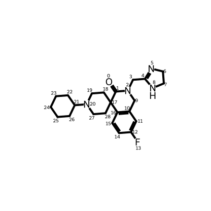 O=C1N(CC2=NCCN2)Cc2cc(F)ccc2C12CCN(C1CCCCC1)CC2